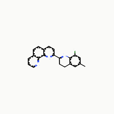 Cc1cc(Cl)c2c(c1)CCC(c1ccc3ccc4cccnc4c3n1)=N2